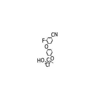 CC(Cl)(Oc1ccc(Oc2ccc(C#N)cc2F)cc1)C(=O)O